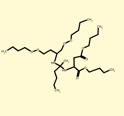 CCCCOOCCC(COOCCCC)NC(C)(CCCC)NC(CC(=O)OCCCC)C(=O)OCCCC